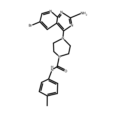 Cc1ccc(NC(=O)N2CCN(c3nc(N)nc4ncc(Br)cc34)CC2)cc1